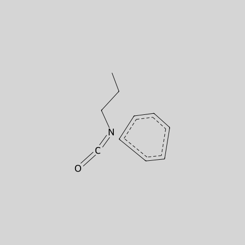 CCCN=C=O.c1ccccc1